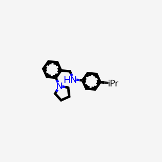 CC(C)c1ccc(NCc2ccccc2N2CCCC2)cc1